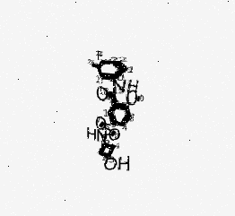 COc1ccc(S(=O)(=O)NC2CC(O)C2)cc1C(=O)Nc1ccc(F)c(C)c1